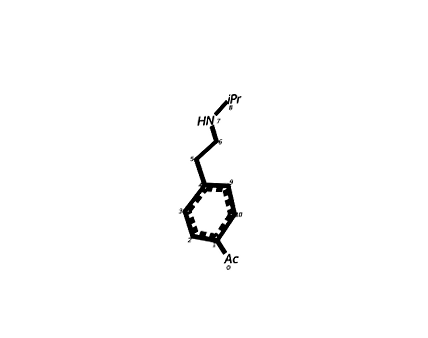 CC(=O)c1ccc(CCNC(C)C)cc1